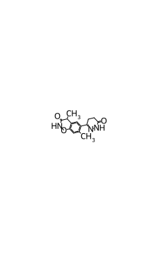 Cc1cc2c(cc1C1=NNC(=O)CC1)C(C)C(=O)NO2